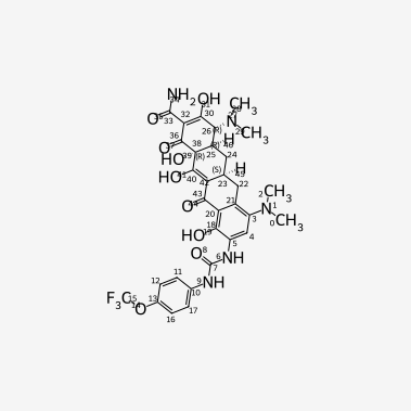 CN(C)c1cc(NC(=O)Nc2ccc(OC(F)(F)F)cc2)c(O)c2c1C[C@@H]1C[C@@H]3[C@@H](N(C)C)C(O)=C(C(N)=O)C(=O)[C@]3(O)C(O)=C1C2=O